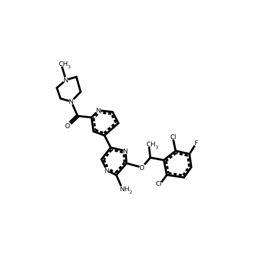 CC(Oc1nc(-c2ccnc(C(=O)N3CCN(C)CC3)c2)cnc1N)c1c(Cl)ccc(F)c1Cl